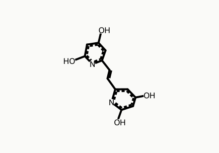 Oc1cc(O)nc(/C=C/c2cc(O)cc(O)n2)c1